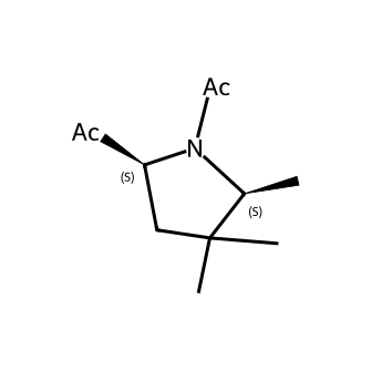 CC(=O)[C@@H]1CC(C)(C)[C@H](C)N1C(C)=O